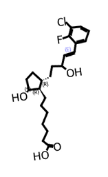 O=C(O)CCCCCC[C@@H]1[C@@H](CCC(O)/C=C/c2cccc(Cl)c2F)CC[C@@H]1O